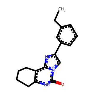 CCc1cccc(-c2cn3c(=O)[nH]c4c(c3n2)CCCC4)c1